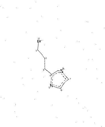 BrCCCc1nccs1